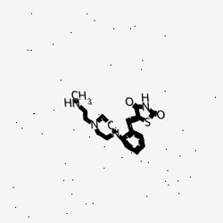 CNCCN1CCN(c2ccccc2/C=C2\SC(=O)NC2=O)CC1